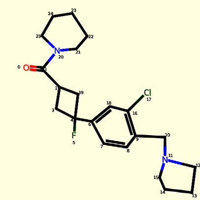 O=C(C1CC(F)(c2ccc(CN3CCCC3)c(Cl)c2)C1)N1CCCCC1